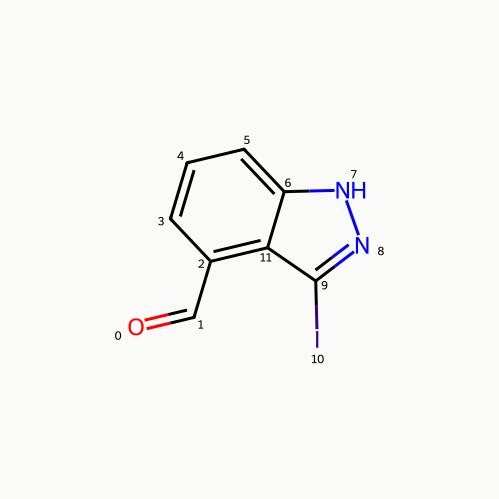 O=Cc1cccc2[nH]nc(I)c12